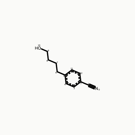 N#Cc1ccc(CCCCO)cc1